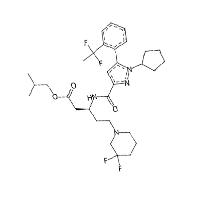 CC(C)COC(=O)C[C@H](CCN1CCCC(F)(F)C1)NC(=O)c1cc(-c2ccccc2C(C)(F)F)n(C2CCCC2)n1